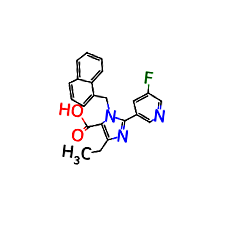 CCc1nc(-c2cncc(F)c2)n(Cc2cccc3ccccc23)c1C(=O)O